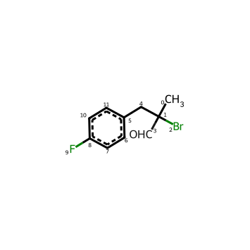 CC(Br)(C=O)Cc1ccc(F)cc1